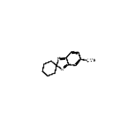 COc1ccc2c(c1)=NC1(CCCCC1)N=2